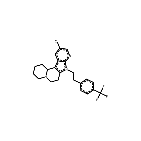 FC(F)(F)c1ccc(CCn2c3c(c4cc(Cl)cnc42)C2CCCCN2CC3)cc1